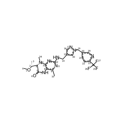 CO[C@H](C)[C@H]1C(=O)Nc2c(C)nc(NCc3cnn(Cc4ccc(C(F)(F)F)nc4)c3)nc2N1C